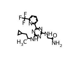 C[C@H](CC1CC1)Nc1nc(NCC(N)=O)nc(-c2cccc(C(F)(F)F)n2)n1